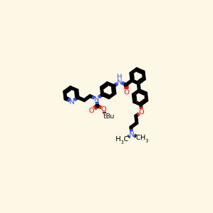 CN(C)CCCOc1ccc(-c2ccccc2C(=O)Nc2ccc(N(CCc3ccccn3)C(=O)OC(C)(C)C)cc2)cc1